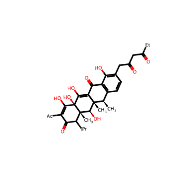 CCC(=O)CC(=O)Cc1ccc2c(c1O)C(=O)C1=C(O)[C@@]3(O)C(O)=C(C(C)=O)C(=O)C(C(C)C)[C@@]3(C)[C@H](O)[C@@]1(C)[C@@H]2C